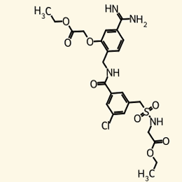 CCOC(=O)CNS(=O)(=O)Cc1cc(Cl)cc(C(=O)NCc2ccc(C(=N)N)cc2OCC(=O)OCC)c1